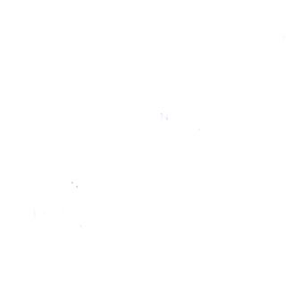 O=C(O)NCCCCCNC(=O)CCCCCS